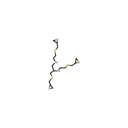 C(C[Te]CC(CSCC1CS1)[Te]CCSCC1CS1)SCC1CS1